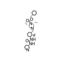 CC[C@@H]1CN(Cc2cccc(NC(=O)Nc3cccnc3)c2F)C[C@H](CC)N1C(=O)OCc1ccccc1